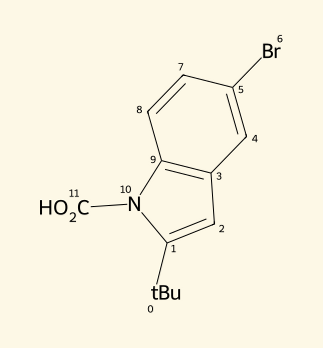 CC(C)(C)c1cc2cc(Br)ccc2n1C(=O)O